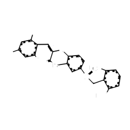 Cc1cccc(C)c1CS(=O)(=O)c1ccc2c(c1)NC(=O)/C(=C\c1c(F)cc(F)cc1F)S2